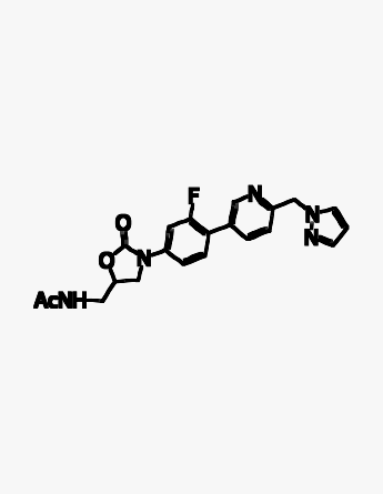 CC(=O)NCC1CN(c2ccc(-c3ccc(Cn4cccn4)nc3)c(F)c2)C(=O)O1